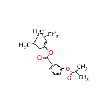 C=C(C)C(=O)Oc1cccc(C(=O)OC2=CC(C)(C)CC(C)C2)c1